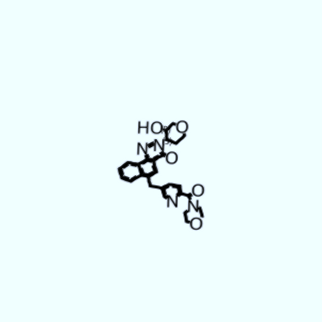 O=C(c1ccc(Cc2cc3c(=O)n([C@H]4CCOC[C@@H]4O)cnc3c3ccccc23)cn1)N1CCOCC1